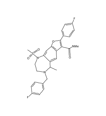 CNC(=O)c1c(-c2ccc(F)cc2)oc2cc3c(cc12)C(C)N(Cc1ccc(F)cc1)CCN3S(C)(=O)=O